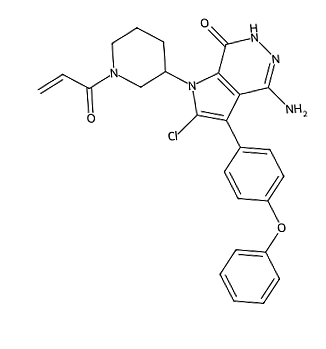 C=CC(=O)N1CCCC(n2c(Cl)c(-c3ccc(Oc4ccccc4)cc3)c3c(N)n[nH]c(=O)c32)C1